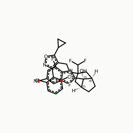 N#Cc1cc(F)c2nc([C@@]3(O)[C@@H]4CC[C@H]3CC(OCc3c(-c5c(Cl)cccc5Cl)noc3C3CC3)(C(F)F)C4)sc2c1